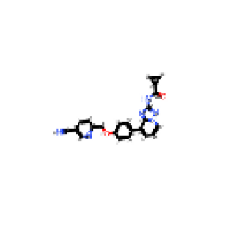 N#Cc1ccc(COc2ccc(-c3cccn4nc(NC(=O)C5CC5)nc34)cc2)nc1